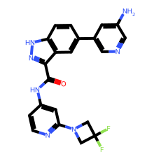 Nc1cncc(-c2ccc3[nH]nc(C(=O)Nc4ccnc(N5CC(F)(F)C5)c4)c3c2)c1